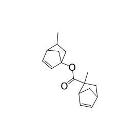 CC1CC2(OC(=O)C3(C)CC4C=CC3C4)C=CC1C2